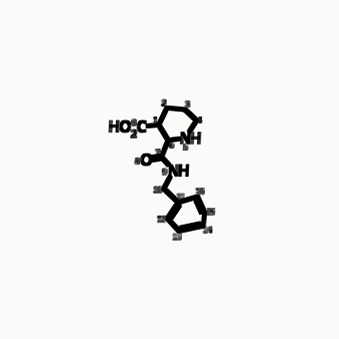 O=C(O)C1CCCNC1C(=O)NCc1ccccc1